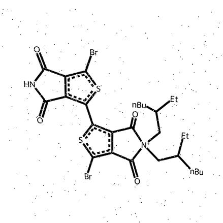 CCCCC(CC)C[N+]1(CC(CC)CCCC)C(=O)c2c(Br)sc(-c3sc(Br)c4c3C(=O)NC4=O)c2C1=O